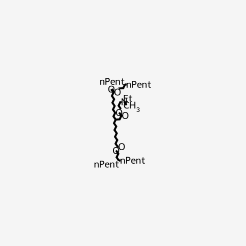 CCCCCC(CCCCC)CCOC(=O)CCCCCCCC(CCCCCCCC(=O)OCCC(CCCCC)CCCCC)CC(=O)OCCCN(C)CC